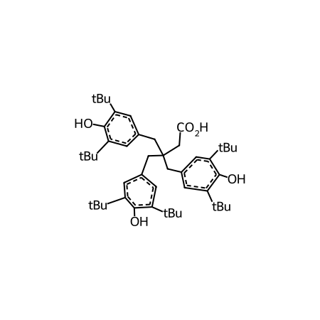 CC(C)(C)c1cc(CC(CC(=O)O)(Cc2cc(C(C)(C)C)c(O)c(C(C)(C)C)c2)Cc2cc(C(C)(C)C)c(O)c(C(C)(C)C)c2)cc(C(C)(C)C)c1O